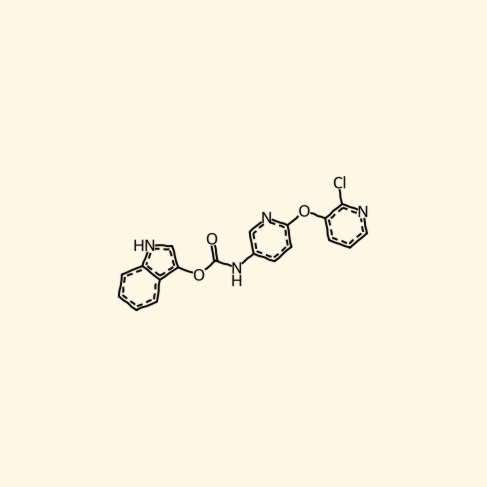 O=C(Nc1ccc(Oc2cccnc2Cl)nc1)Oc1c[nH]c2ccccc12